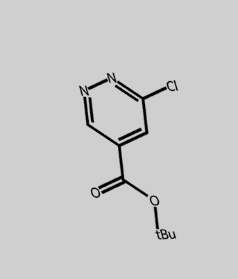 CC(C)(C)OC(=O)c1cnnc(Cl)c1